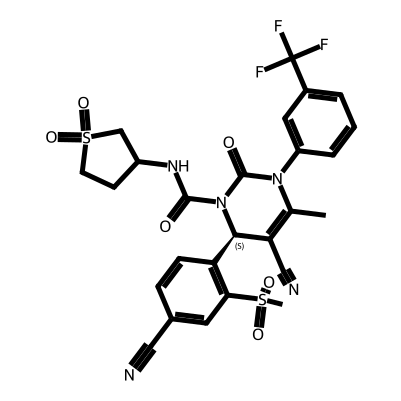 CC1=C(C#N)[C@@H](c2ccc(C#N)cc2S(C)(=O)=O)N(C(=O)NC2CCS(=O)(=O)C2)C(=O)N1c1cccc(C(F)(F)F)c1